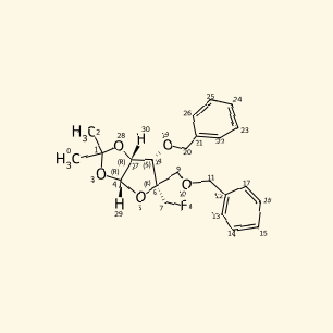 CC1(C)O[C@H]2O[C@](CF)(COCc3ccccc3)[C@@H](OCc3ccccc3)[C@H]2O1